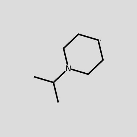 CC(C)N1CC[CH]CC1